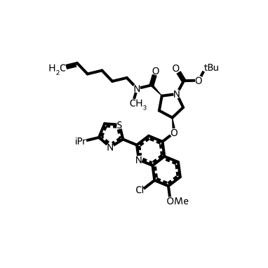 C=CCCCCN(C)C(=O)[C@@H]1C[C@H](Oc2cc(-c3nc(C(C)C)cs3)nc3c(Cl)c(OC)ccc23)CN1C(=O)OC(C)(C)C